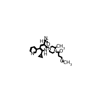 COCCC(=O)N1CCN([C@]2(OC)NC(C3CC3)=C(c3cccnc3)C=C2C#N)CC1C